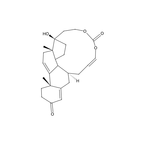 C[C@]12CCC(=O)C=C1C[C@@H]1CC=COC(=O)OCC[C@]3(O)CCC4C1C2=CC[C@@]43C